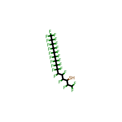 FC(F)C(F)C(S)C(F)C(F)C(F)C(F)(F)C(F)(F)C(F)(F)C(F)(F)C(F)(F)C(F)(F)C(F)(F)C(F)(F)C(F)(F)F